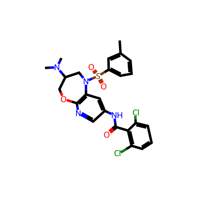 Cc1cccc(S(=O)(=O)N2CC(N(C)C)COc3ncc(NC(=O)c4c(Cl)cccc4Cl)cc32)c1